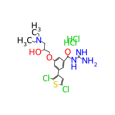 CCN(CC)CC(O)COc1cc(C(=O)NC(=N)N)cc(-c2cc(Cl)sc2Cl)c1.Cl.Cl